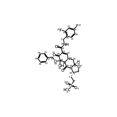 CS(=O)(=O)CC[C@H]1CO[C@@H]2CN3C=C(C(=O)NCc4ccc(F)cc4F)C(=O)C(O)(OCc4ccccc4)C3C(=O)N12